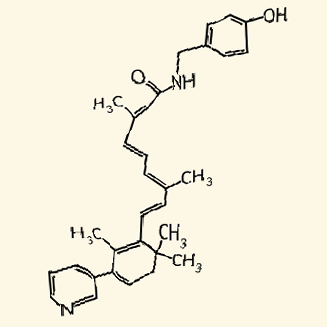 CC(C=CC1=C(C)C(c2cccnc2)=CCC1(C)C)=CC=CC(C)=CC(=O)NCc1ccc(O)cc1